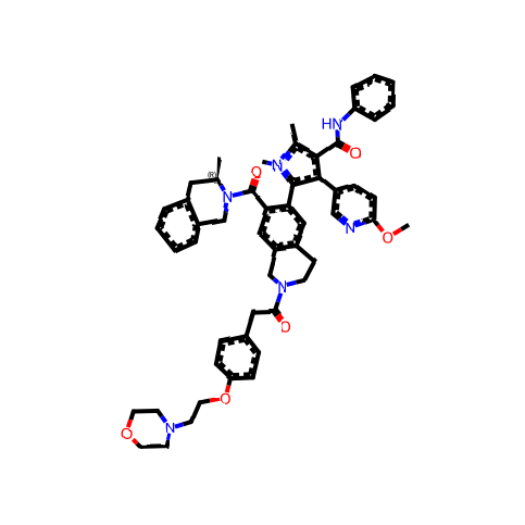 COc1ccc(-c2c(C(=O)Nc3ccccc3)c(C)n(C)c2-c2cc3c(cc2C(=O)N2Cc4ccccc4C[C@H]2C)CN(C(=O)Cc2ccc(OCCN4CCOCC4)cc2)CC3)cn1